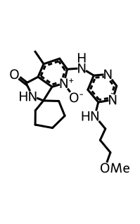 COCCCNc1cc(Nc2cc(C)c3c([n+]2[O-])C2(CCCCC2)NC3=O)ncn1